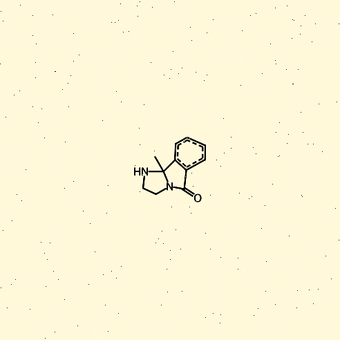 CC12NCCN1C(=O)c1ccccc12